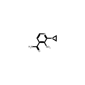 NC(=O)c1ccnc(N2CC2)c1[N+](=O)[O-]